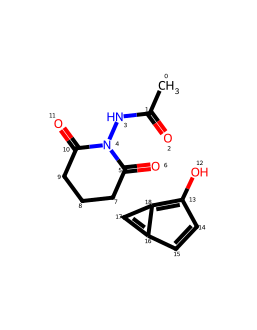 CC(=O)NN1C(=O)CCCC1=O.Oc1ccc2cc1-2